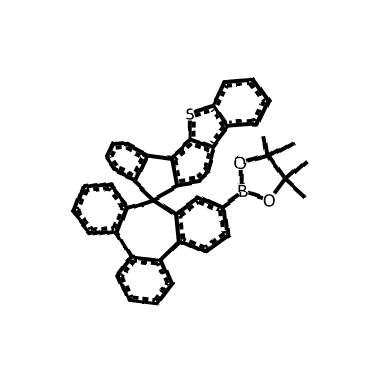 CC1(C)OB(c2ccc3c(c2)C2(c4ccccc4-c4ccccc4-3)c3ccccc3-c3c2ccc2c3sc3ccccc32)OC1(C)C